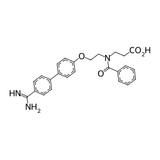 N=C(N)c1ccc(-c2ccc(OCCN(CCC(=O)O)C(=O)c3ccccc3)cc2)cc1